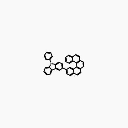 c1ccc(-n2c3ccccc3c3cc(-c4ccc5ccc6ccc7ccc8ccccc8c7c6c5c4)ccc32)cc1